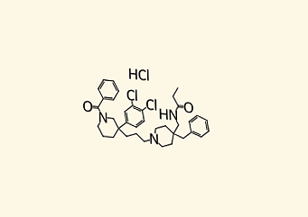 CCC(=O)NCC1(Cc2ccccc2)CCN(CCCC2(c3ccc(Cl)c(Cl)c3)CCCN(C(=O)c3ccccc3)C2)CC1.Cl